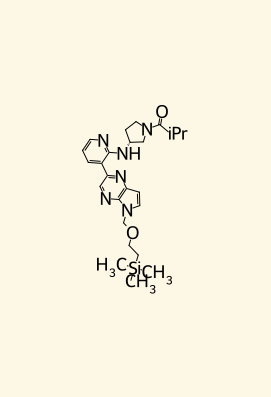 CC(C)C(=O)N1CC[C@@H](Nc2ncccc2-c2cnc3c(ccn3COCC[Si](C)(C)C)n2)C1